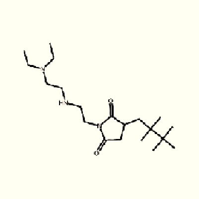 CCN(CC)CCNCCN1C(=O)CC(CC(C)(C)C(C)(C)C)C1=O